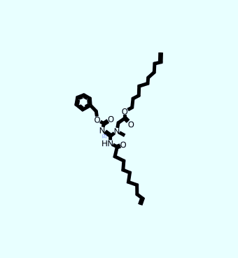 C=CCCCCCCCCOC(=O)CN(C)/C(=N\C(=O)OCc1ccccc1)NC(=O)CCCCCCCC=C